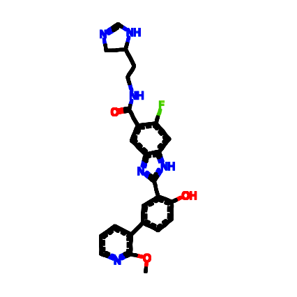 COc1ncccc1-c1ccc(O)c(-c2nc3cc(C(=O)NCCC4CN=CN4)c(F)cc3[nH]2)c1